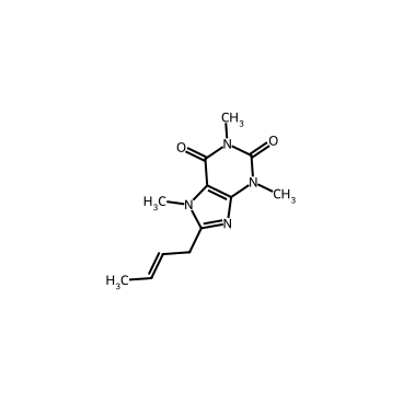 C/C=C/Cc1nc2c(c(=O)n(C)c(=O)n2C)n1C